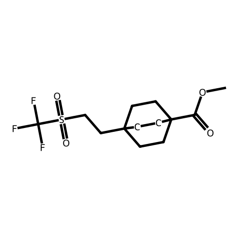 COC(=O)C12CCC(CCS(=O)(=O)C(F)(F)F)(CC1)CC2